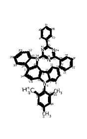 Cc1cc(C)c(-n2c3ccccc3c3c2ccc2c4ccccc4n(-c4nc(-c5ccccc5)nc(-c5ccccc5)n4)c23)c(C)c1